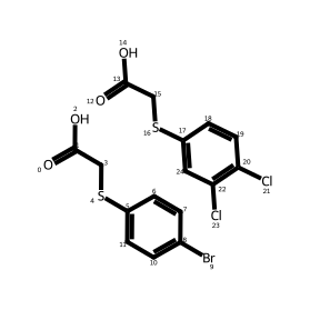 O=C(O)CSc1ccc(Br)cc1.O=C(O)CSc1ccc(Cl)c(Cl)c1